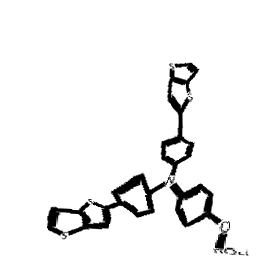 CCCCCCCCOc1ccc(N(c2ccc(-c3cc4sccc4s3)cc2)c2ccc(-c3cc4sccc4s3)cc2)cc1